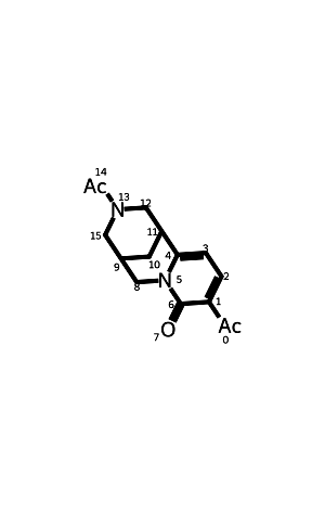 CC(=O)c1ccc2n(c1=O)CC1CC2CN(C(C)=O)C1